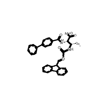 COC(=O)[C@@H](NC(=O)c1ccc(-c2ccccc2)cc1)[C@H](C)NC(=O)OCC1c2ccccc2-c2ccccc21